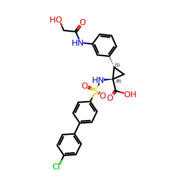 O=C(CO)Nc1cccc([C@@H]2C[C@]2(NS(=O)(=O)c2ccc(-c3ccc(Cl)cc3)cc2)C(=O)O)c1